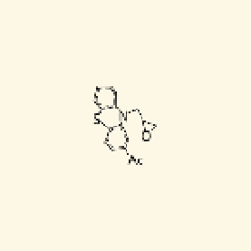 CC(=O)c1ccc2c(c1)N(CC1CO1)c1ccccc1S2